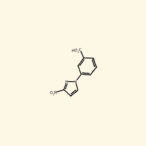 O=C(O)c1cccc(-n2ccc([N+](=O)[O-])n2)c1